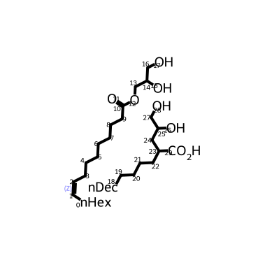 CCCCCC/C=C\CCCCCCCC(=O)OCC(O)CO.CCCCCCCCCCCCCCC(CC(O)CO)C(=O)O